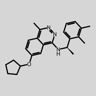 Cc1cccc([C@@H](C)Nc2nnc(C)c3ccc(OC4CCCC4)cc23)c1C